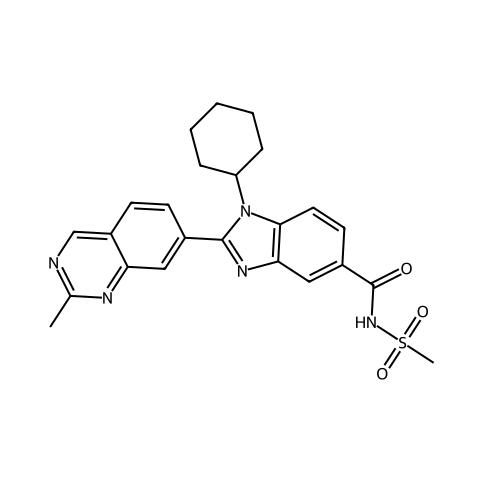 Cc1ncc2ccc(-c3nc4cc(C(=O)NS(C)(=O)=O)ccc4n3C3CCCCC3)cc2n1